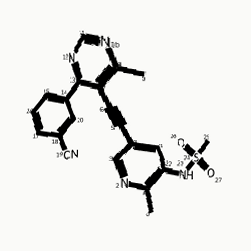 Cc1ncc(C#Cc2c(C)ncnc2-c2cccc(C#N)c2)cc1NS(C)(=O)=O